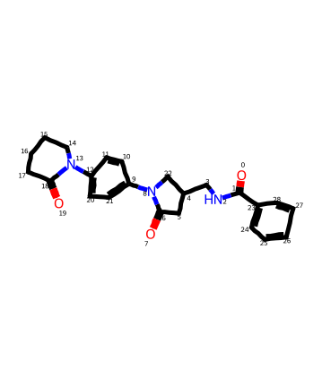 O=C(NCC1CC(=O)N(c2ccc(N3CCCCC3=O)cc2)C1)c1ccccc1